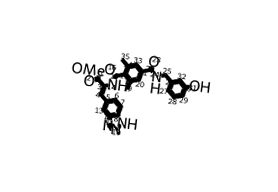 COC(=O)C(=Cc1ccc2[nH]nnc2c1)NC(=O)c1c(C)cc(C(=O)NCc2cccc(O)c2)cc1C